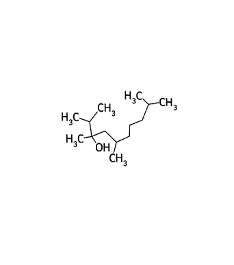 CC(C)CCCC(C)CC(C)(O)C(C)C